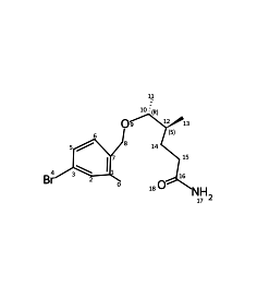 Cc1cc(Br)ccc1CO[C@H](C)[C@@H](C)CCC(N)=O